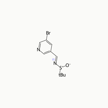 CC(C)(C)[S+]([O-])/N=C/c1cncc(Br)c1